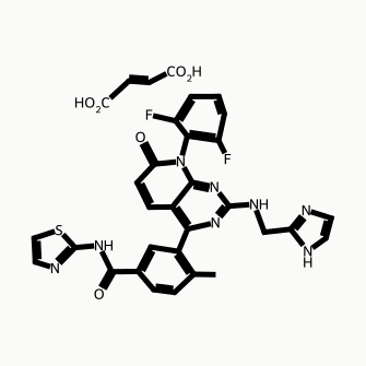 Cc1ccc(C(=O)Nc2nccs2)cc1-c1nc(NCc2ncc[nH]2)nc2c1ccc(=O)n2-c1c(F)cccc1F.O=C(O)C=CC(=O)O